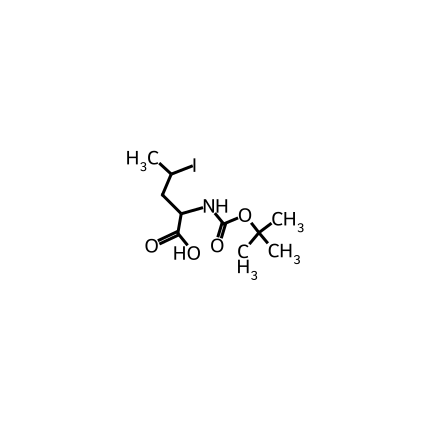 CC(I)CC(NC(=O)OC(C)(C)C)C(=O)O